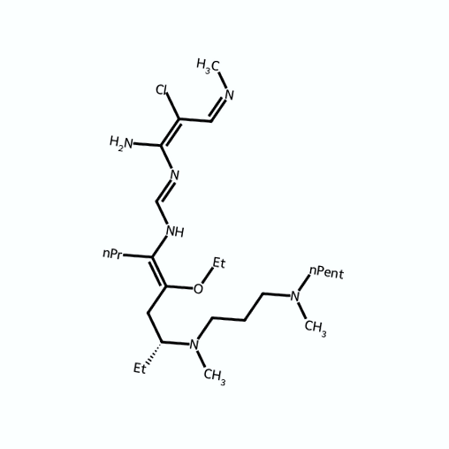 CCCCCN(C)CCCN(C)[C@H](CC)C/C(OCC)=C(\CCC)N/C=N/C(N)=C(Cl)\C=N/C